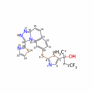 CC(O)(CC(F)(F)F)c1cnc(Sc2ccc3ccc4nnc(-c5nccs5)n4c3c2)s1